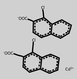 O=C([O-])c1ccc2ccccc2c1Cl.O=C([O-])c1ccc2ccccc2c1Cl.[Cd+2]